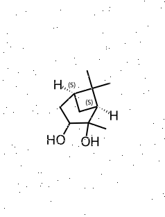 CC1(O)C(O)C[C@@H]2C[C@H]1C2(C)C